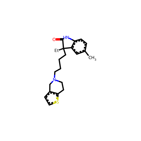 CCC1(CCCCN2CCc3sccc3C2)C(=O)Nc2ccc(C)cc21